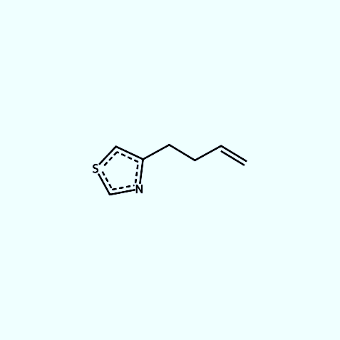 C=CCCc1cscn1